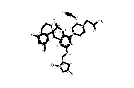 CC(F)CN1CCN(c2nc(OC[C@@H]3C[C@@H](F)CN3C)nc3c2NC(=O)[C@]2(CCCc4c(Cl)cc(F)cc42)C3)C[C@@H]1CC#N